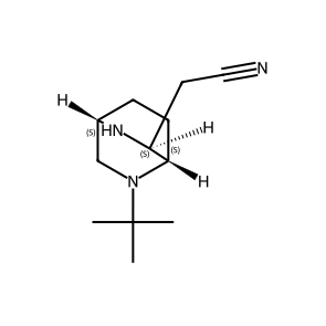 CC(C)(C)N1C[C@@H]2CC[C@H]1[C@H](CC#N)N2